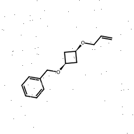 C=CCO[C@H]1C[C@@H](OCc2ccccc2)C1